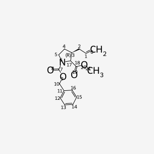 C=CC[C@@H]1CCN(C(=O)OCc2ccccc2)C1C(=O)OC